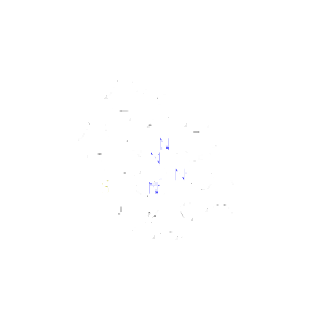 c1ccc(-c2nc(N3c4c(c5ccccc5c5sc6ccccc6c45)-c4c(ccc5ccccc45)N3c3ccccc3)nc3ccccc23)cc1